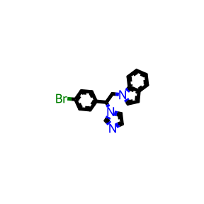 Brc1ccc(C(Cn2ccc3ccccc32)n2ccnc2)cc1